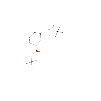 CC(C)(C)OC(=O)N1CCCC(O[Si](C)(C)C(C)(C)C)C1